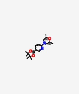 C[C@H]1CN(c2ccc(B3OC(C)(C)C(C)(C)O3)cn2)C[C@H](C)O1